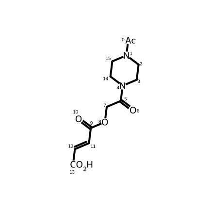 CC(=O)N1CCN(C(=O)COC(=O)/C=C/C(=O)O)CC1